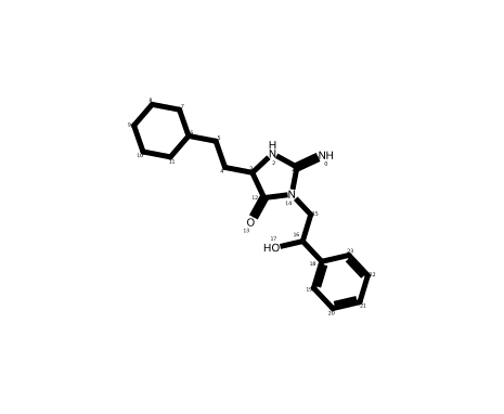 N=C1NC(CCC2CCCCC2)C(=O)N1CC(O)c1ccccc1